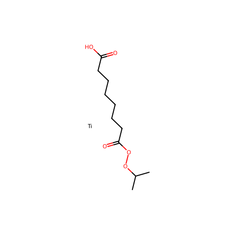 CC(C)OOC(=O)CCCCCCC(=O)O.[Ti]